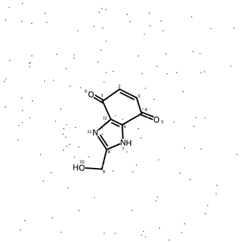 O=C1C=CC(=O)c2[nH]c(CO)nc21